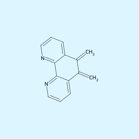 C=c1c(=C)c2cccnc2c2ncccc12